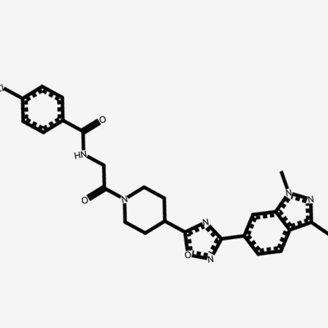 Cc1nn(C)c2cc(-c3noc(C4CCN(C(=O)CNC(=O)c5ccc(Cl)cc5)CC4)n3)ccc12